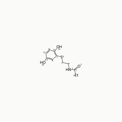 CCC(=O)NCCSc1cc(O)ccc1O